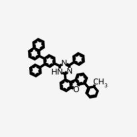 CC1CC=CC=C1c1cccc2c1oc1cccc(C3=NC(c4ccccc4)=NC(c4ccc(-c5cccc6ccccc56)c(-c5ccccc5)c4)N3)c12